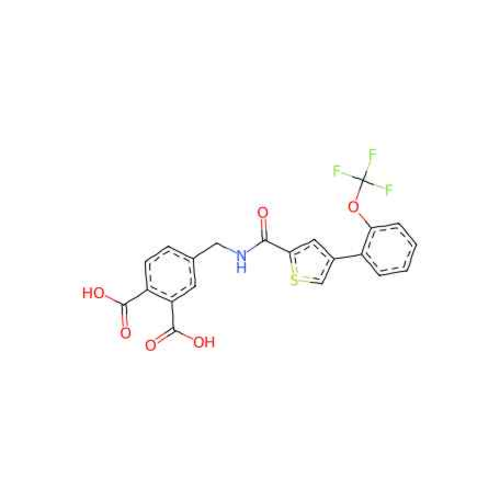 O=C(NCc1ccc(C(=O)O)c(C(=O)O)c1)c1cc(-c2ccccc2OC(F)(F)F)cs1